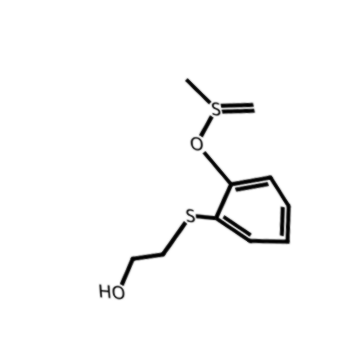 C=S(C)Oc1ccccc1SCCO